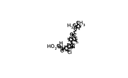 Cc1cccc(OCCCC(=O)N2CC3CC3c3c(-c4cnn(Cc5c(F)cc(C(=O)NCC(=O)O)cc5Cl)c4)cccc32)c1C